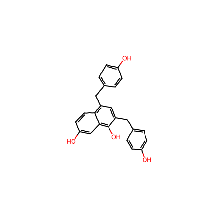 Oc1ccc(Cc2cc(Cc3ccc(O)cc3)c3ccc(O)cc3c2O)cc1